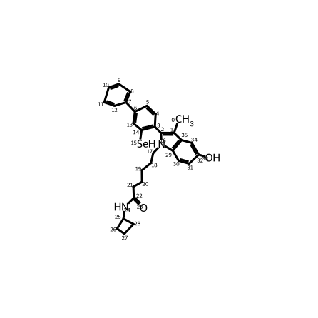 Cc1c(-c2ccc(-c3ccccc3)cc2[SeH])n(CCCCCC(=O)NC2CCC2)c2ccc(O)cc12